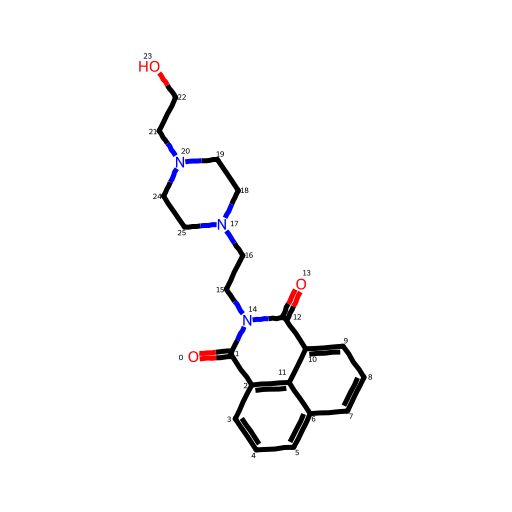 O=C1c2cccc3cccc(c23)C(=O)N1CCN1CCN(CCO)CC1